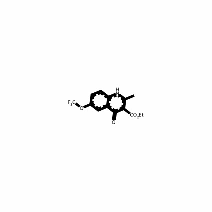 CCOC(=O)c1c(C)[nH]c2ccc(OC(F)(F)F)cc2c1=O